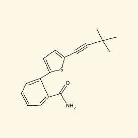 CC(C)(C)C#Cc1ccc(-c2ccccc2C(N)=O)s1